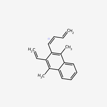 C=C/C=C\c1c(C=C)c(C)c2ccccc2c1C